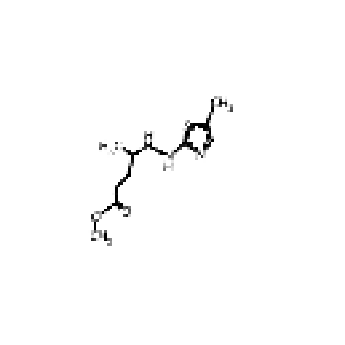 COC(=O)CCC(C)NNc1ncc(C)s1